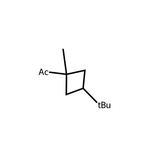 CC(=O)C1(C)CC(C(C)(C)C)C1